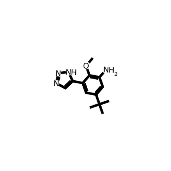 COc1c(N)cc(C(C)(C)C)cc1-c1cnn[nH]1